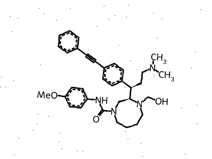 COc1ccc(NC(=O)N2CCCCN(CO)[C@H]([C@H](CCN(C)C)c3ccc(C#Cc4ccccc4)cc3)C2)cc1